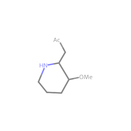 COC1CCCNC1CC(C)=O